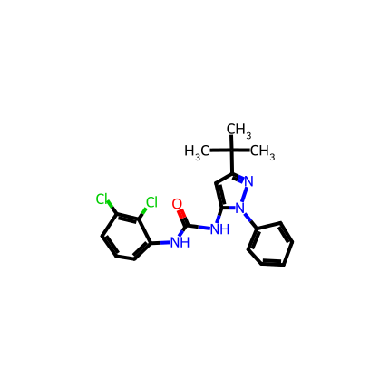 CC(C)(C)c1cc(NC(=O)Nc2cccc(Cl)c2Cl)n(-c2ccccc2)n1